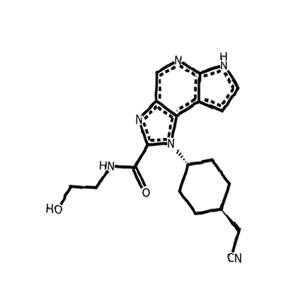 N#CC[C@H]1CC[C@H](n2c(C(=O)NCCO)nc3cnc4[nH]ccc4c32)CC1